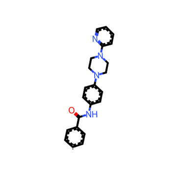 O=C(Nc1ccc(N2CCN(c3ccccn3)CC2)cc1)c1cc[c]cc1